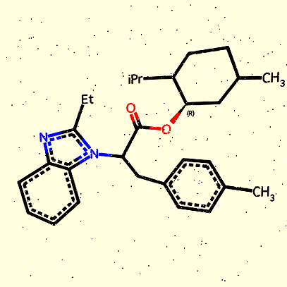 CCc1nc2ccccc2n1C(Cc1ccc(C)cc1)C(=O)O[C@@H]1CC(C)CCC1C(C)C